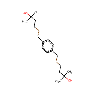 CC(C)(O)CCSCc1ccc(CSCCC(C)(C)O)cc1